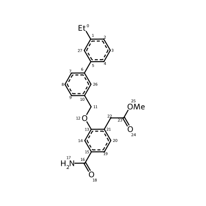 CCc1cccc(-c2cccc(COc3cc(C(N)=O)ccc3CC(=O)OC)c2)c1